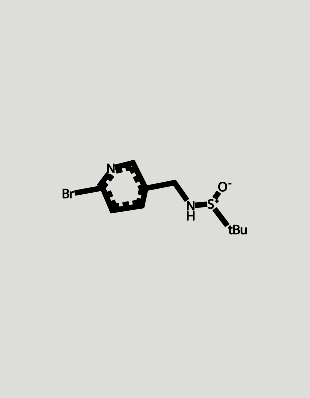 CC(C)(C)[S+]([O-])NCc1ccc(Br)nc1